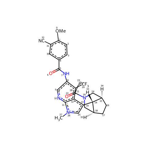 COc1ccc(C(=O)Nc2cnc3c(c([C@@H]4[C@@H]5CC[C@H]4CN(C(=O)C(C)C)C5)cn3C)c2C(F)(F)F)cc1C#N